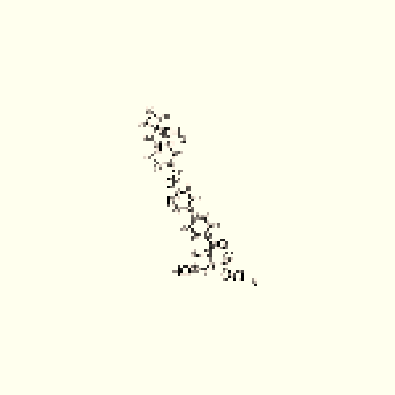 COC(=O)[C@@H]1C[C@@H](O)CN1C(=O)c1ccc(-c2ccc(OCC3CCN(CC4(C)CCC4)CC3)nc2)cc1